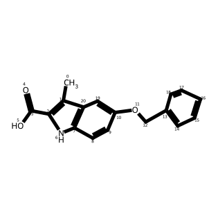 Cc1c(C(=O)O)[nH]c2ccc(OCc3ccccc3)cc12